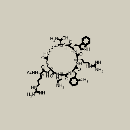 C=C(N)[C@@H]1CCCNC(=O)CC[C@H](NC(=O)[C@H](CCCNC(=N)N)NC(C)=O)C(=O)N[C@@H](CCN)C(=O)N[C@H](Cc2ccccc2C)C(=O)N[C@@H](CCCNC(=N)N)C(=O)N[C@@H](Cc2c[nH]c3ccccc23)C(=O)N1